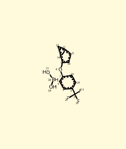 FC(F)(F)c1ccc(Oc2ccc3cc2-3)cc1.OBO